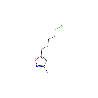 Cc1cc(CCCCCBr)on1